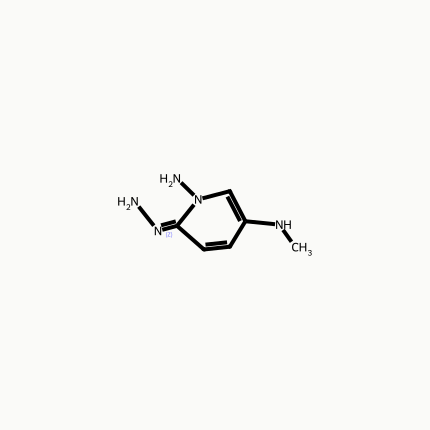 CNc1cc/c(=N/N)n(N)c1